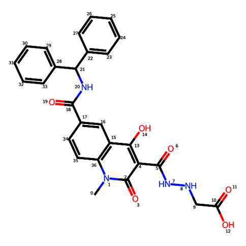 Cn1c(=O)c(C(=O)NNCC(=O)O)c(O)c2cc(C(=O)NC(c3ccccc3)c3ccccc3)ccc21